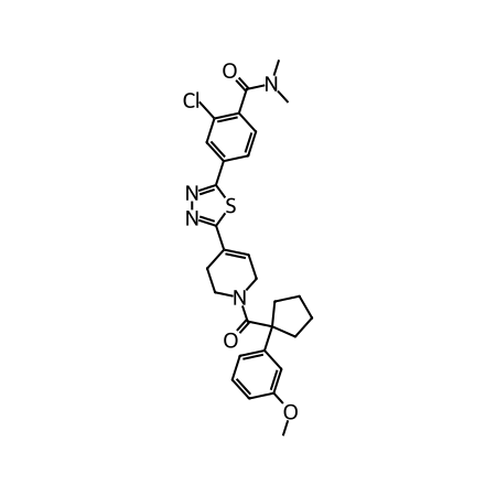 COc1cccc(C2(C(=O)N3CC=C(c4nnc(-c5ccc(C(=O)N(C)C)c(Cl)c5)s4)CC3)CCCC2)c1